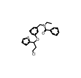 CCN(Cc1cccc(OC(CCCl)c2cccs2)c1)C(=O)c1ccccc1